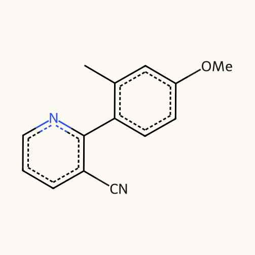 COc1ccc(-c2ncccc2C#N)c(C)c1